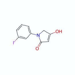 O=C1C=C(O)CN1c1cccc(I)c1